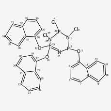 ClN1P(Oc2cccc3ccccc23)N=P(Oc2cccc3ccccc23)(Oc2cccc3ccccc23)N(Cl)P1Cl